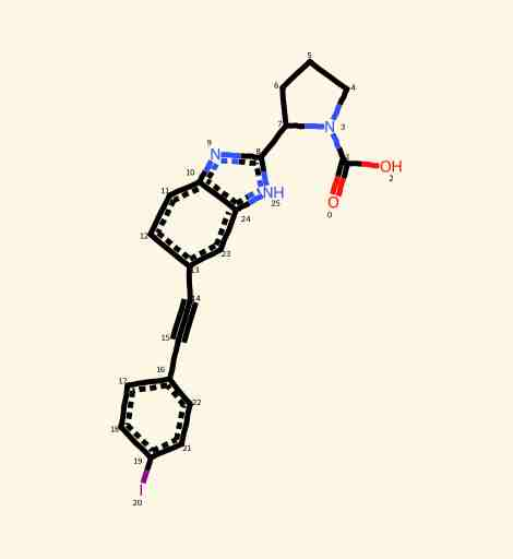 O=C(O)N1CCCC1c1nc2ccc(C#Cc3ccc(I)cc3)cc2[nH]1